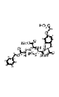 CNC(=O)[C@H](Cc1ccc(OCC(=O)O)cc1)NC(=O)[C@H](CC(C)C)N[C@H](CCNC(=O)OCc1ccccc1)C(=O)OC